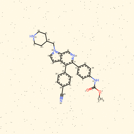 COC(=O)Nc1ccc(-c2ncc3c(ccn3CC3CCNCC3)c2-c2ccc(C#N)cc2)cc1